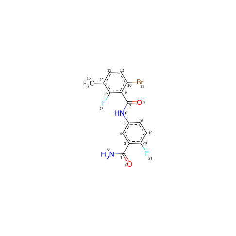 NC(=O)c1cc(NC(=O)c2c(Br)ccc(C(F)(F)F)c2F)ccc1F